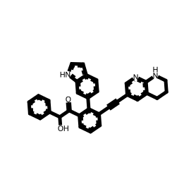 O=C(c1cccc(C#Cc2cnc3c(c2)CCCN3)c1-c1ccc2cc[nH]c2c1)C(O)c1ccccc1